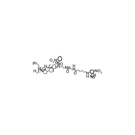 CC(C)CCC[C@@H](C)[C@H]1CCC2C3CC=C4C[C@@H](N(CCCNC(=O)CCNC(=O)CCCCCNc5ccc([N+](=O)[O-])c6nonc56)S(=O)(=O)c5ccccc5[N+](=O)[O-])CC[C@]4(C)C3CC[C@@]21C